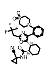 N#CC1(NC(=O)[C@@H]2CCCC[C@H]2c2oc(CC(F)(F)F)nc2-c2ccccc2N2CCS(=O)(=O)CC2)CC1